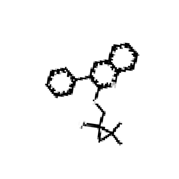 CC1(C)CC1(N)CSc1nc2ccccc2cc1-c1ccccc1